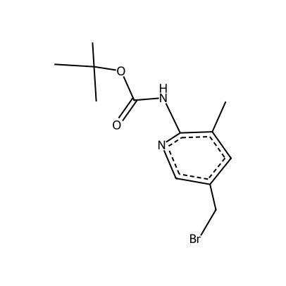 Cc1cc(CBr)cnc1NC(=O)OC(C)(C)C